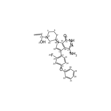 C=CC(O)N1CCC[C@@H](n2cc(-c3ccc(Oc4ccccc4)cc3F)c3c(N)n[nH]c(=O)c32)C1